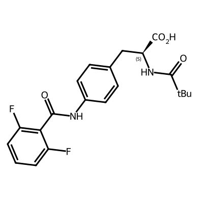 CC(C)(C)C(=O)N[C@@H](Cc1ccc(NC(=O)c2c(F)cccc2F)cc1)C(=O)O